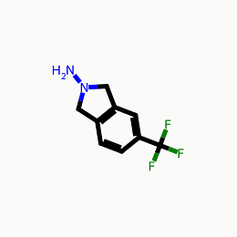 NN1Cc2ccc(C(F)(F)F)cc2C1